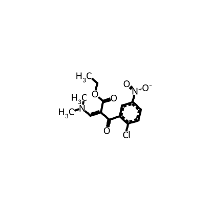 CCOC(=O)/C(=C\N(C)C)C(=O)c1cc([N+](=O)[O-])ccc1Cl